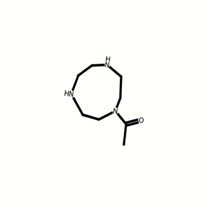 CC(=O)N1CCNCCNCC1